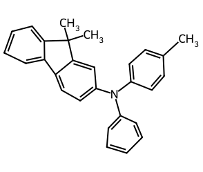 Cc1ccc(N(c2ccccc2)c2ccc3c(c2)C(C)(C)c2ccccc2-3)cc1